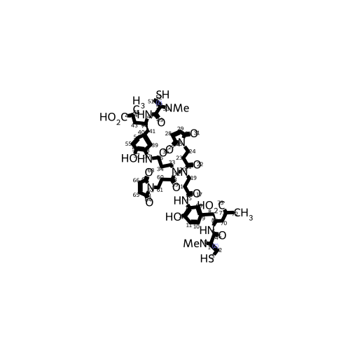 CN/C(=C\S)C(=O)N[C@@H](Cc1ccc(O)c(NC(=O)CCN(C(=O)CCN2C(=O)C=CC2=O)N(CCC(=O)Nc2cc(C[C@@H](CC(C)C(=O)O)NC(=O)/C(=C/S)NC)ccc2O)C(=O)CCN2C(=O)C=CC2=O)c1)CC(C)C(=O)O